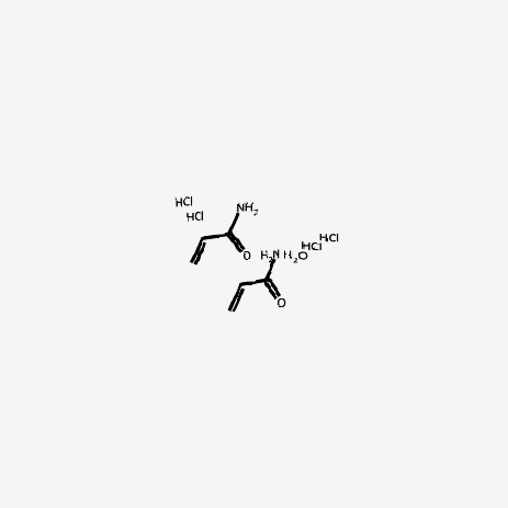 C=CC(N)=O.C=CC(N)=O.Cl.Cl.Cl.Cl.O